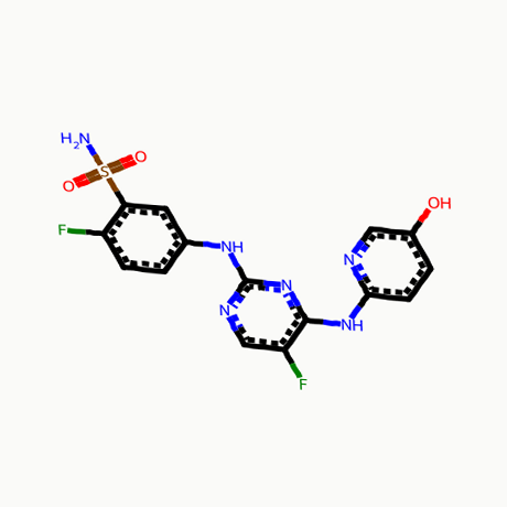 NS(=O)(=O)c1cc(Nc2ncc(F)c(Nc3ccc(O)cn3)n2)ccc1F